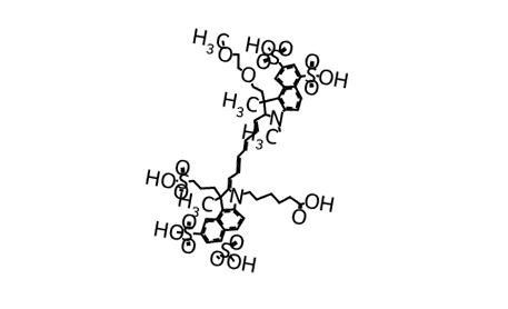 CCN1c2ccc3c(S(=O)(=O)O)cc(S(=O)(=O)O)cc3c2C(C)(CCOCCOC)C1C=CC=CC=CC=C1N(CCCCCC(=O)O)c2ccc3c(S(=O)(=O)O)cc(S(=O)(=O)O)cc3c2C1(C)CCCS(=O)(=O)O